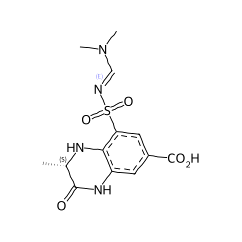 C[C@@H]1Nc2c(cc(C(=O)O)cc2S(=O)(=O)/N=C/N(C)C)NC1=O